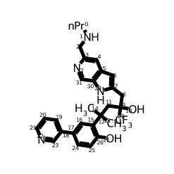 CCCNCc1cc2cc(CC(O)(CC(C)(C)c3cc(-c4cccnc4)ccc3O)C(F)(F)F)[nH]c2cn1